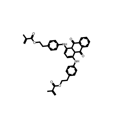 C=C(C)C(=O)OCCc1ccc(NC2=CC=C(Nc3ccc(CCOC(=O)C(=C)C)cc3)C3C(=O)c4ccccc4C(=O)C23)cc1